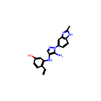 C=Cc1ccc(O)cc1Nc1cnn(-c2ccc3[nH]c(C)nc3c2)c1N